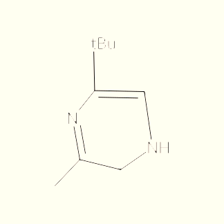 CC1=NC(C(C)(C)C)=CNC1